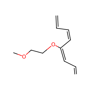 C=C/C=C\C(=C/C=C)OCCOC